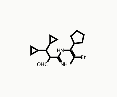 CC/C(C)=C(/NC(=N)C(C=O)C(C1CC1)C1CC1)C1CCCC1